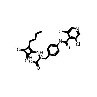 CCCCc1c(N[C@@H](Cc2ccc(NC(=O)c3c(Cl)cncc3Cl)cc2)C(=O)O)c(=O)c1=O